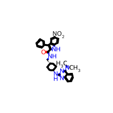 CN(C)c1nc(N[C@H]2CC[C@@H](CNC(=O)c3[nH]c4ccc([N+](=O)[O-])cc4c3-c3ccccc3)CC2)nc2ccccc12